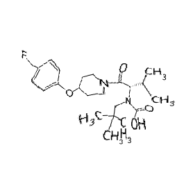 CC(C)[C@@H](C(=O)N1CCC(Oc2ccc(F)cc2)CC1)N(CC(C)(C)C)C(=O)O